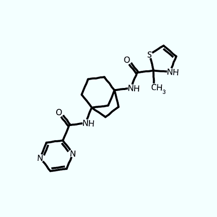 CC1(C(=O)NC23CCCC(NC(=O)c4cnccn4)(CC2)C3)NC=CS1